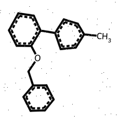 Cc1ccc(-c2ccccc2OCc2ccccc2)cc1